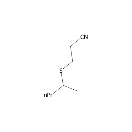 CCCC(C)SCCC#N